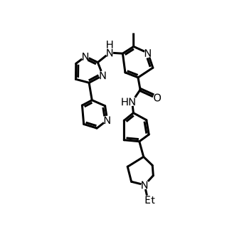 CCN1CCC(c2ccc(NC(=O)c3cnc(C)c(Nc4nccc(-c5cccnc5)n4)c3)cc2)CC1